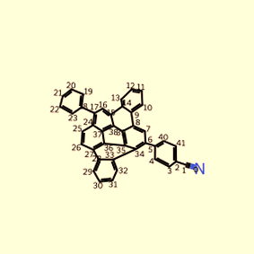 N#Cc1ccc(-c2cc3c4ccccc4c4cc(-c5ccccc5)c5ccc6c7ccccc7c2c2c6c5c4c32)cc1